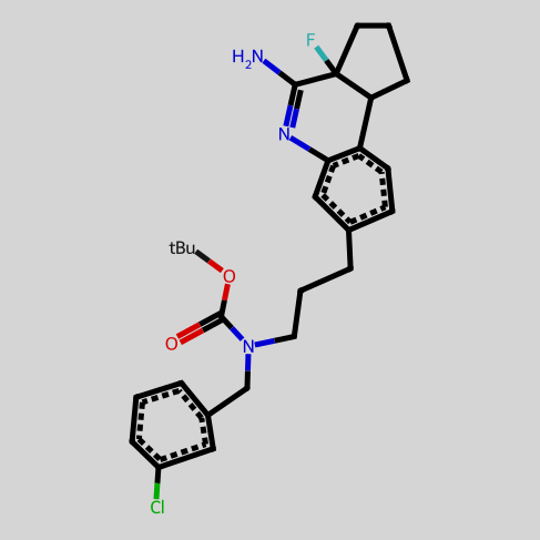 CC(C)(C)OC(=O)N(CCCc1ccc2c(c1)N=C(N)C1(F)CCCC21)Cc1cccc(Cl)c1